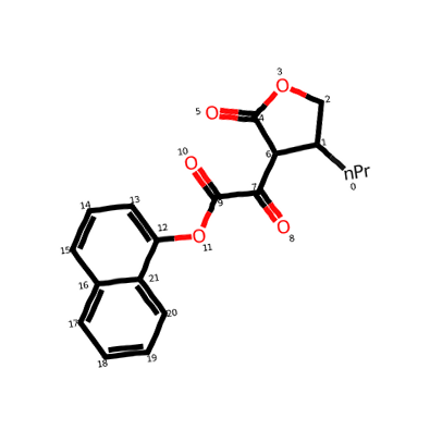 CCCC1COC(=O)C1C(=O)C(=O)Oc1cccc2ccccc12